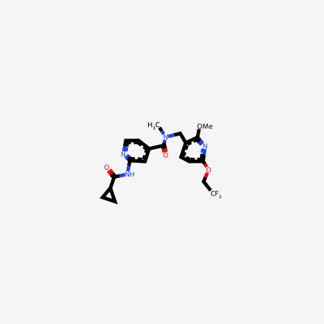 COc1nc(OCC(F)(F)F)ccc1CN(C)C(=O)c1ccnc(NC(=O)C2CC2)c1